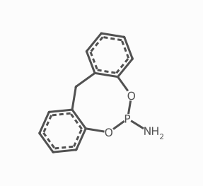 NP1Oc2ccccc2Cc2ccccc2O1